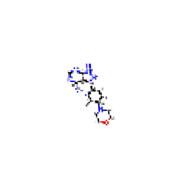 Cc1cc(-c2n[nH]c3ncnc(N)c23)ccc1N1CCOCC1